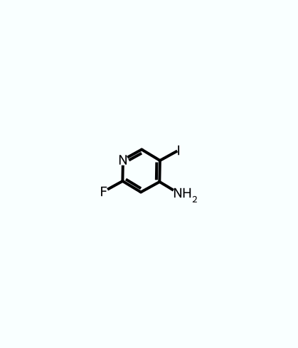 Nc1cc(F)ncc1I